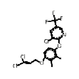 Cc1c(OCC=C(Cl)Cl)ccc(Oc2ncc(C(F)(F)F)cc2Cl)c1C